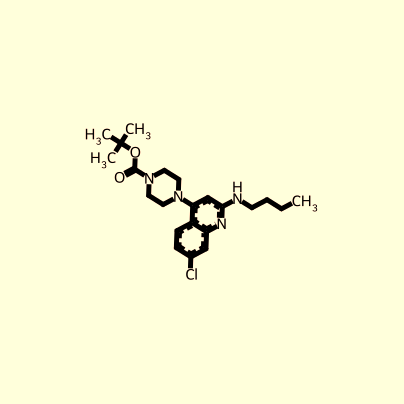 CCCCNc1cc(N2CCN(C(=O)OC(C)(C)C)CC2)c2ccc(Cl)cc2n1